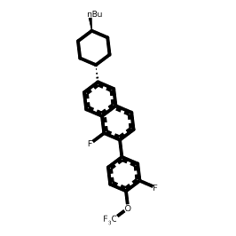 CCCC[C@H]1CC[C@H](c2ccc3c(F)c(-c4ccc(OC(F)(F)F)c(F)c4)ccc3c2)CC1